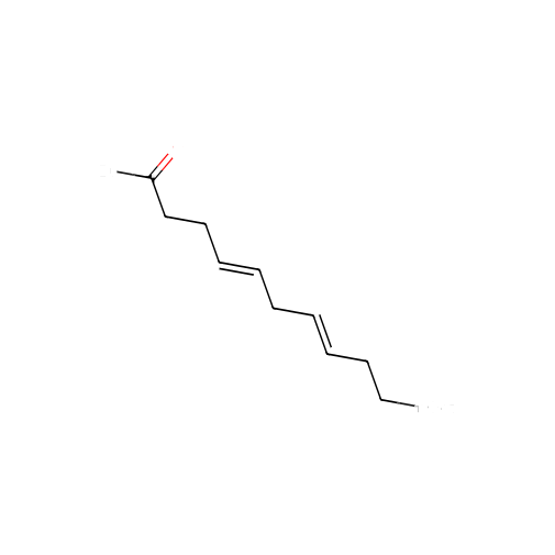 CCCCCCCCCC/C=C/C/C=C/CCC(=O)CC